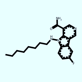 CCCCCCCCNn1c2ccc(F)cc2c2cncc(C(N)=O)c21